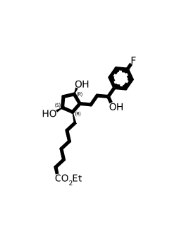 CCOC(=O)CCCCCC[C@@H]1C(CCC(O)c2ccc(F)cc2)[C@H](O)C[C@@H]1O